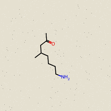 CC(=O)CC(C)CCCCN